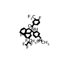 CN(C)Cc1ccc(C(Cc2ccccc2)(NC(=O)c2ccc(F)c(C(F)(F)F)c2)c2cc(F)cc(OC(F)(F)C(F)F)c2)cc1